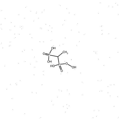 CC(P(=O)(O)O)P(=O)(O)OO